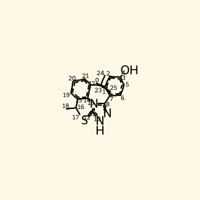 Cc1cc(O)ccc1-c1n[nH]c(=S)n1-c1c(C(C)C)cccc1C(C)C